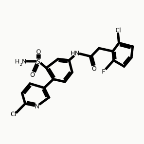 NS(=O)(=O)c1cc(NC(=O)Cc2c(F)cccc2Cl)ccc1-c1ccc(Cl)nc1